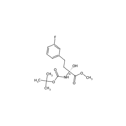 COC(=O)[C@](O)(CCc1cccc(F)c1)NC(=O)OC(C)(C)C